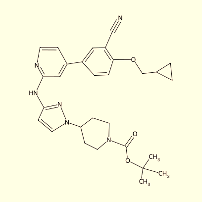 CC(C)(C)OC(=O)N1CCC(n2ccc(Nc3cc(-c4ccc(OCC5CC5)c(C#N)c4)ccn3)n2)CC1